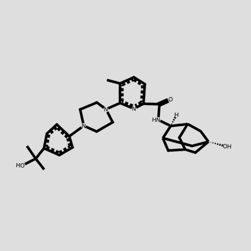 Cc1ccc(C(=O)N[C@H]2C3CC4CC2C[C@](O)(C4)C3)nc1N1CCN(c2ccc(C(C)(C)O)cc2)CC1